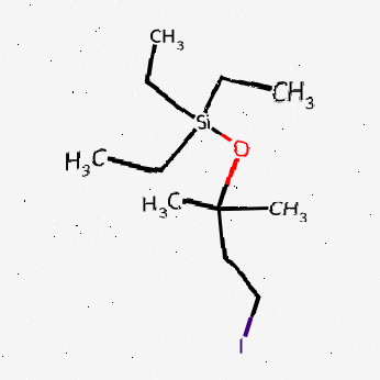 CC[Si](CC)(CC)OC(C)(C)CCI